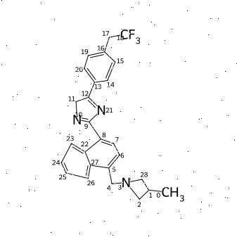 CC1CN(Cc2ccc(C3=NCC(c4ccc(CC(F)(F)F)cc4)=N3)c3ccccc23)C1